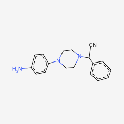 N#CC(c1ccccc1)N1CCN(c2ccc(N)cc2)CC1